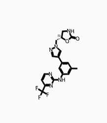 Cc1cc(Nc2nccc(C(F)(F)F)n2)cc(-c2cnn(C[C@@H]3CNC(=O)O3)c2)c1